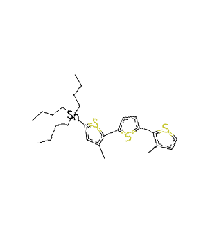 CCC[CH2][Sn]([CH2]CCC)([CH2]CCC)[c]1cc(C)c(-c2ccc(-c3sccc3C)s2)s1